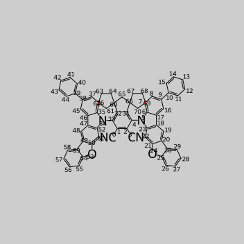 N#Cc1c(C#N)c(-n2c3ccc(-c4ccccc4)cc3c3cc4c(cc32)oc2ccccc24)c2c(c1-n1c3ccc(-c4ccccc4)cc3c3cc4c(cc31)oc1ccccc14)C1(CCCC1)CC21CCCC1